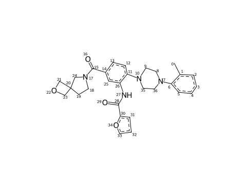 Cc1ccccc1N1CCN(c2ccc(C(=O)N3CCC4(COC4)C3)cc2NC(=O)c2ccco2)CC1